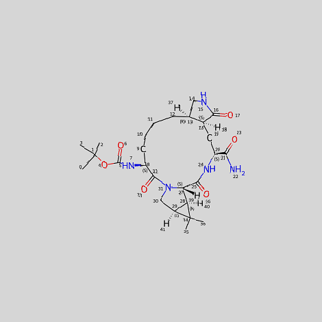 CC(C)(C)OC(=O)N[C@H]1CCCC[C@H]2CNC(=O)[C@H]2C[C@@H](C(N)=O)NC(=O)[C@@H]2[C@@H]3[C@H](CN2C1=O)C3(C)C